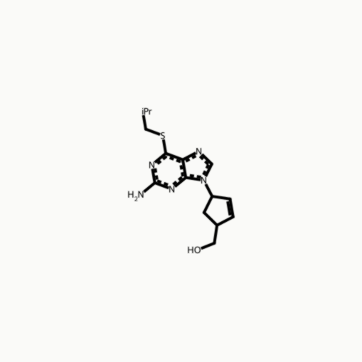 CC(C)CSc1nc(N)nc2c1ncn2C1C=CC(CO)C1